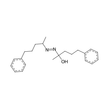 CC(CCCc1ccccc1)/N=N/C(C)(O)CCCc1ccccc1